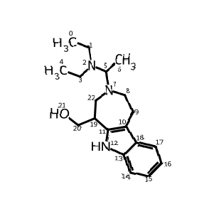 CCN(CC)C(C)N1CCc2c([nH]c3ccccc23)C(CO)C1